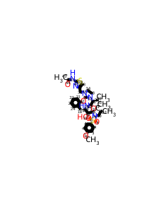 COc1ccc(S(=O)(=O)N(CC(C)C)C[C@H](O)[C@H](Cc2ccccc2)NC(=O)[C@H](C(C)C)N2CCN(Cc3csc(NC(C)=O)n3)C2=O)cc1